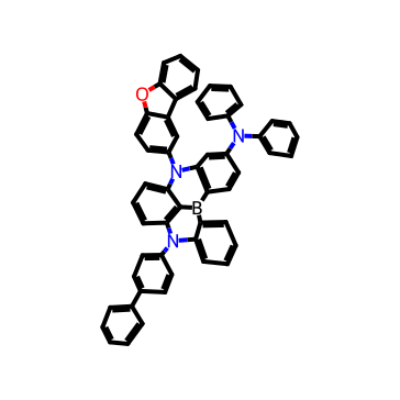 c1ccc(-c2ccc(N3c4ccccc4B4c5ccc(N(c6ccccc6)c6ccccc6)cc5N(c5ccc6oc7ccccc7c6c5)c5cccc3c54)cc2)cc1